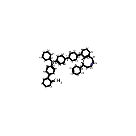 CC1CCCCC1C1CC=C(N(C2=CCC(C3CCC(C4CCCC5=C4OC(C4CC=CCC4)C/C=C\C5)CC3)CC2)C2CCCCC2)CC1